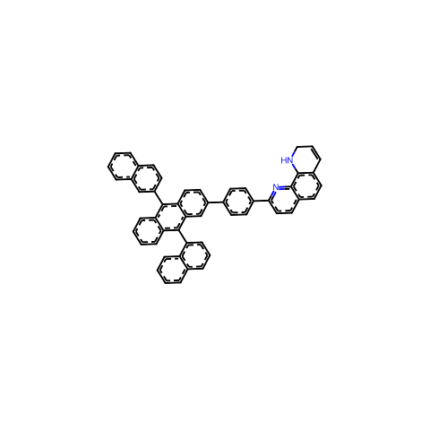 C1=Cc2ccc3ccc(-c4ccc(-c5ccc6c(-c7ccc8ccccc8c7)c7ccccc7c(-c7cccc8ccccc78)c6c5)cc4)nc3c2NC1